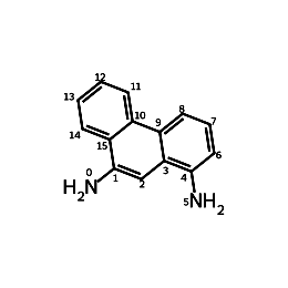 Nc1cc2c(N)cccc2c2ccccc12